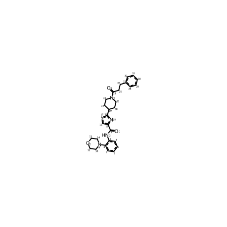 O=C(Nc1ccccc1N1CCOCC1)c1csc(C2CCN(C(=O)CCc3ccccc3)CC2)n1